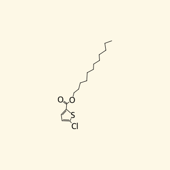 CCCCCCCCCCCCOC(=O)c1ccc(Cl)s1